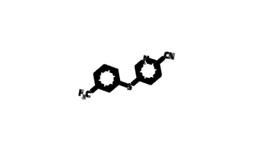 N#Cc1ccc(Sc2cccc(C(F)(F)F)c2)cn1